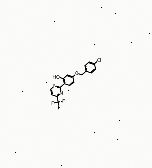 Oc1cc(OCc2ccc(Cl)cc2)ccc1-c1nccc(C(F)(F)F)n1